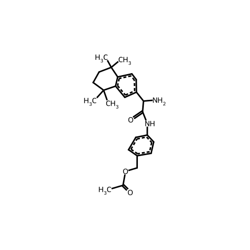 CC(=O)OCc1ccc(NC(=O)C(N)c2ccc3c(c2)C(C)(C)CCC3(C)C)cc1